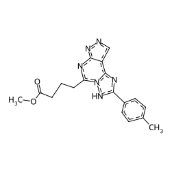 COC(=O)CCCc1nc2nncc-2c2nc(-c3ccc(C)cc3)[nH]n12